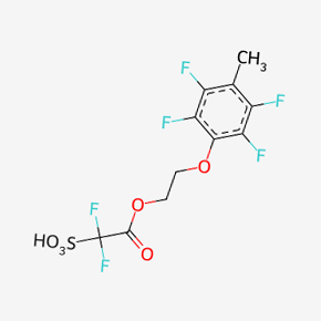 Cc1c(F)c(F)c(OCCOC(=O)C(F)(F)S(=O)(=O)O)c(F)c1F